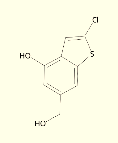 OCc1cc(O)c2cc(Cl)sc2c1